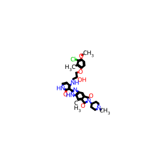 COc1ccc(OCC(O)CNc2cc[nH]c(=O)c2-c2nc3cc4c(c(C)c3[nH]2)C(=O)N(C2CCN(C)CC2)C4=O)c(C)c1Cl